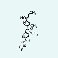 C=CC[C@H](O)c1cc(C)c(-c2cc3cnc(NC(=O)[C@H]4CC4(F)F)cc3n(C)c2=O)cn1